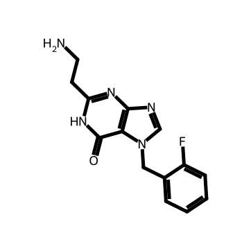 NCCc1nc2ncn(Cc3ccccc3F)c2c(=O)[nH]1